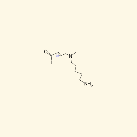 CN(C/C=C/C(=O)I)CCCCCN